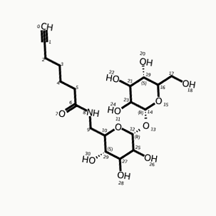 C#CCCCCC(=O)NCC1O[C@H](O[C@H]2OC(CO)[C@@H](O)C(O)C2O)C(O)C(O)[C@@H]1O